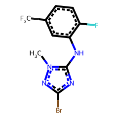 Cn1nc(Br)nc1Nc1cc(C(F)(F)F)ccc1F